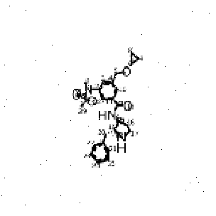 CN(c1cc(COC2CC2)cc(C(=O)N[C@@H]2CCN[C@@H]2Cc2ccccc2)c1)S(C)(=O)=O